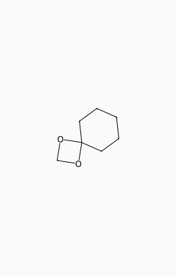 C1CCC2(CC1)OCO2